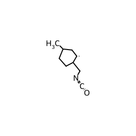 CC1C[CH]C(CN=C=O)CC1